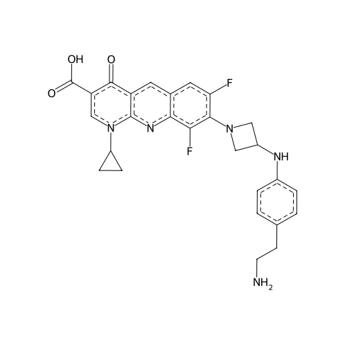 NCCc1ccc(NC2CN(c3c(F)cc4cc5c(=O)c(C(=O)O)cn(C6CC6)c5nc4c3F)C2)cc1